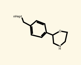 CCCCCCCCc1ccc(C2CNCCO2)cc1